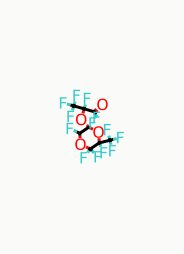 O=C(F)C(F)(OC1(F)OC(F)(C(F)(F)F)C(F)(F)OC1F)C(F)(F)F